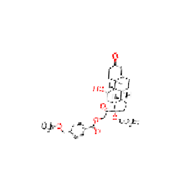 CCOC(=O)O[C@]1(C(=O)COC(=O)c2ccc(CO[N+](=O)[O-])cc2)CC[C@H]2[C@@H]3CCC4=CC(=O)C=C[C@]4(C)[C@H]3[C@@H](O)C[C@@]21C